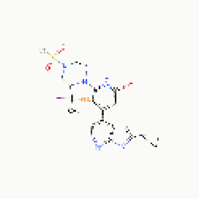 CCS(=O)(=O)N1CCN(c2cc(-c3ccnc4[nH]c(C5CC5)cc34)cc(=O)[nH]2)C(C(C)(P)I)C1